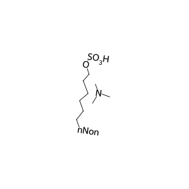 CCCCCCCCCCCCCCCOS(=O)(=O)O.CN(C)C